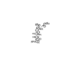 CC(=O)Nc1nc2c(c(=O)[nH]1)N(C)[C@H]([C@H](O)Nc1ccc(C(=O)N[C@@H](CCC(=O)OC(C)(C)C)C(=O)OC(C)(C)C)c(F)n1)CN2